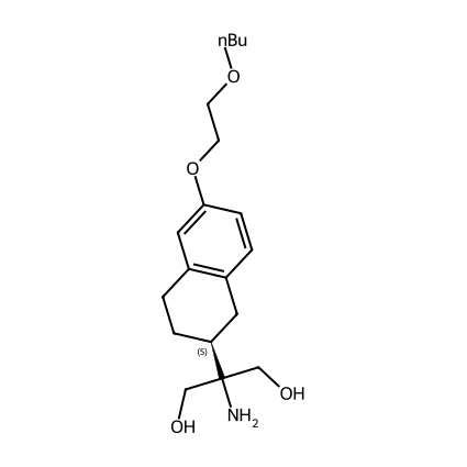 CCCCOCCOc1ccc2c(c1)CC[C@H](C(N)(CO)CO)C2